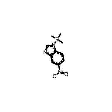 C[Si](C)(C)n1cnc2cc([N+](=O)[O-])ccc21